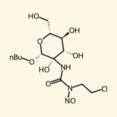 CCCCO[C@@H]1O[C@H](CO)[C@@H](O)[C@H](O)[C@@]1(O)NC(=O)N(CCCl)N=O